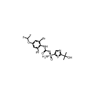 CC(C)c1cc(OC(F)F)cc(C(C)C)c1NC(=O)N=[S@@](N)(=O)c1cnc(C(C)(C)O)s1